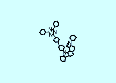 c1ccc(-c2nc(-c3ccccc3)nc(-c3ccc(-c4ccc(-n5c6ccccc6c6ccc7ccc8c(ccn8-c8ccccc8)c7c65)cc4)cc3)n2)cc1